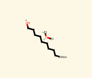 CCCCCCCCCCCCCCCCCCO.CCOCC